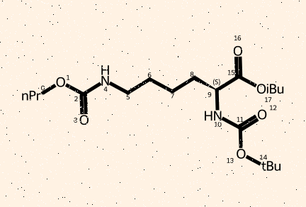 CCCOC(=O)NCCCC[C@H](NC(=O)OC(C)(C)C)C(=O)OCC(C)C